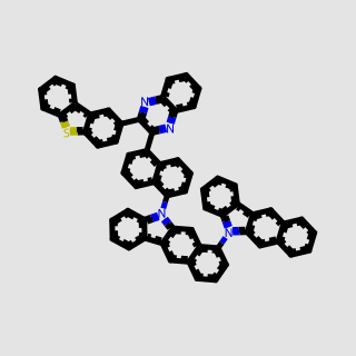 c1ccc2cc3c(cc2c1)c1ccccc1n3-c1cccc2cc3c4ccccc4n(-c4cccc5c(-c6nc7ccccc7nc6-c6ccc7sc8ccccc8c7c6)cccc45)c3cc12